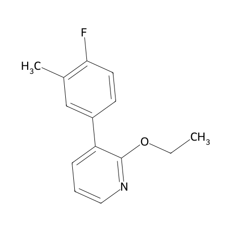 CCOc1ncccc1-c1ccc(F)c(C)c1